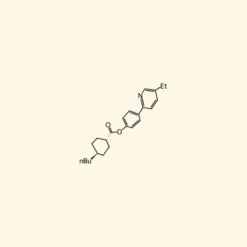 CCCC[C@H]1CC[C@H](C(=O)Oc2ccc(-c3ccc(CC)cn3)cc2)CC1